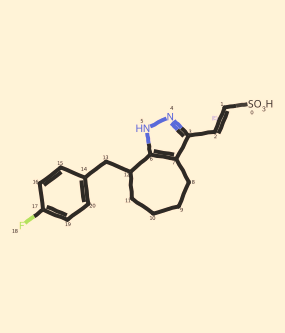 O=S(=O)(O)/C=C/c1n[nH]c2c1CCCCC2Cc1ccc(F)cc1